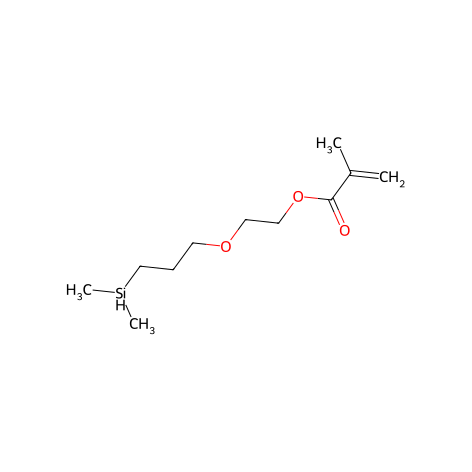 C=C(C)C(=O)OCCOCCC[SiH](C)C